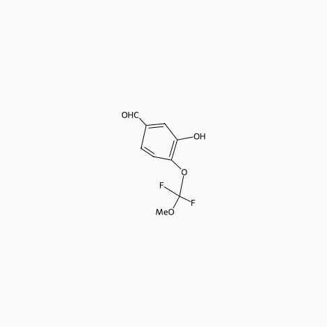 COC(F)(F)Oc1ccc(C=O)cc1O